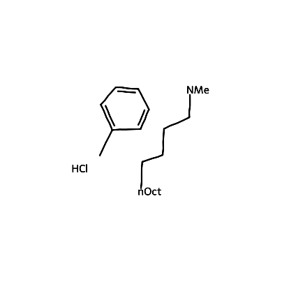 CCCCCCCCCCCCNC.Cc1ccccc1.Cl